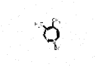 CC1=C(C)CN=S(Br)C=C1